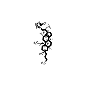 CCCC[C@@]1(O)CC[C@@]2(COC)[C@H](CC[C@H]3[C@@H]4CC[C@H]([C@H](C)Cn5nnnc5C)[C@@]4(C)CC[C@@H]32)C1